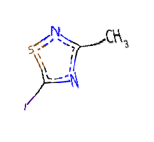 Cc1nsc(I)n1